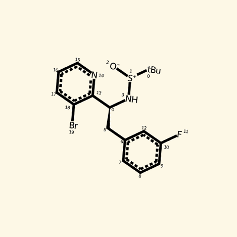 CC(C)(C)[S+]([O-])N[C@@H](Cc1cccc(F)c1)c1ncccc1Br